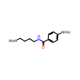 CNCCCCNC(=O)c1ccc(NC(C)=O)cc1